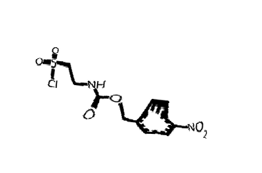 O=C(NCCS(=O)(=O)Cl)OCc1ccc([N+](=O)[O-])cc1